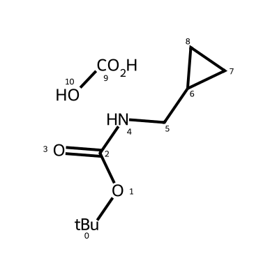 CC(C)(C)OC(=O)NCC1CC1.O=C(O)O